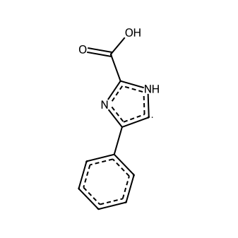 O=C(O)c1nc(-c2ccccc2)[c][nH]1